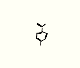 C=C(C)c1ccc(C)cc1